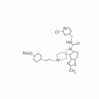 COc1ccc(/C=C/CN2CCC3(CC2)CN(C(=O)NCc2ccnc(Cl)c2)c2ccc4sc(C)nc4c23)cc1